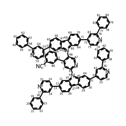 N#Cc1cccc(-c2cc(-n3c4cc(-c5ccnc(-c6ccccc6)c5)ccc4c4ccc(-c5ccnc(-c6ccccc6)c5)cc43)ncc2-n2c3cc(-c4ccnc(-c5ccccc5)c4)ccc3c3ccc(-c4ccnc(-c5ccccc5)c4)cc32)c1